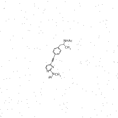 CC(=O)NC(C)Cc1ccc(C#Cc2ccnc(N(C)C(C)C)n2)cc1